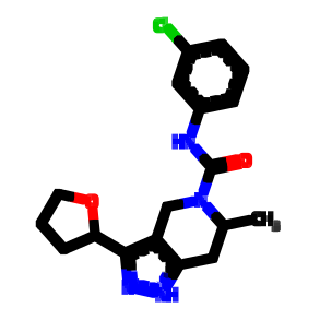 CC1Cc2[nH]nc(C3CCCO3)c2CN1C(=O)Nc1cccc(Cl)c1